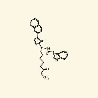 CCC(=O)CCCCC[C@H](NC(=O)Cn1nnc2ccccc21)c1ncc(-c2ccc3ccccc3c2)[nH]1